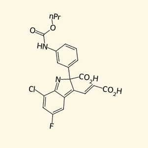 CCCOC(=O)Nc1cccc(C2(C(=O)O)N=c3c(Cl)cc(F)cc3=C2C=CC(=O)O)c1